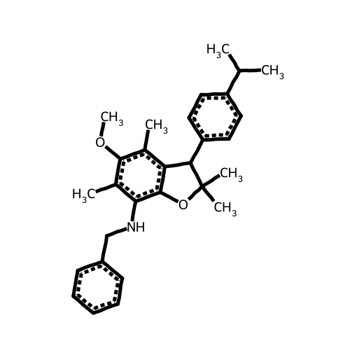 COc1c(C)c(NCc2ccccc2)c2c(c1C)C(c1ccc(C(C)C)cc1)C(C)(C)O2